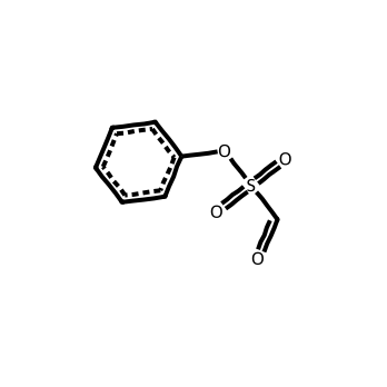 O=CS(=O)(=O)Oc1ccccc1